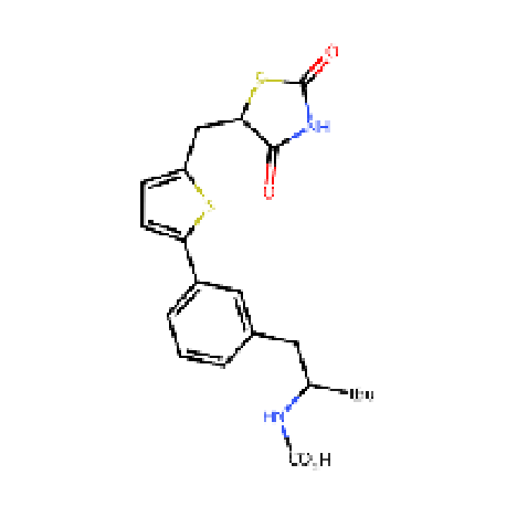 CC(C)(C)C(Cc1cccc(-c2ccc(CC3SC(=O)NC3=O)s2)c1)NC(=O)O